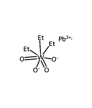 C[CH2][W](=[O])(=[O])([O-])([O-])([CH2]C)[CH2]C.[Pb+2]